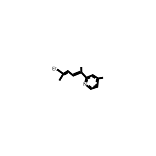 CCC(C)=C/C=C(\C)c1cc(C)ccn1